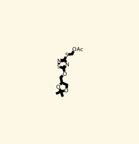 CC(=O)OCSc1nsc(OCC2COC(C)(C)O2)n1